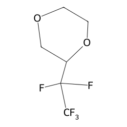 FC(F)(F)C(F)(F)C1COCCO1